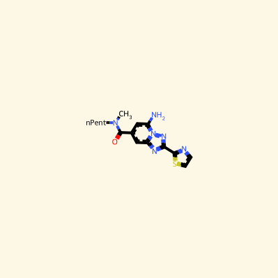 CCCCCN(C)C(=O)c1cc(N)n2nc(-c3nccs3)nc2c1